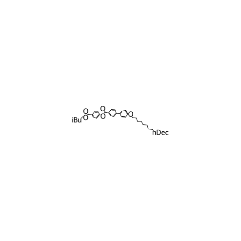 CCCCCCCCCCCCCCCCCCOc1ccc(-c2ccc(C(=O)Oc3ccc(C(=O)OCC(C)CC)cc3)cc2)cc1